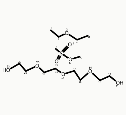 CCOCC.COS(C)(=O)=O.OCCOCCOCCOCCO